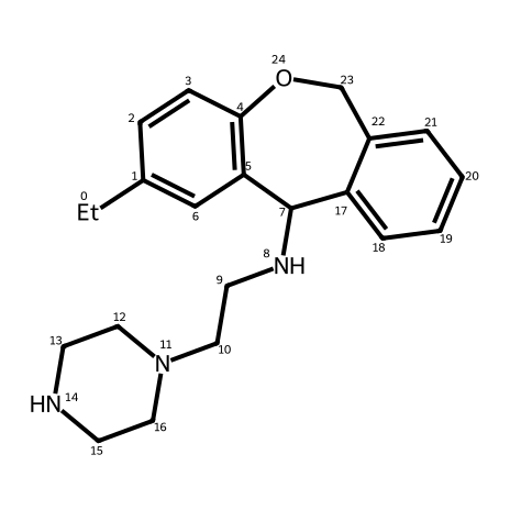 CCc1ccc2c(c1)C(NCCN1CCNCC1)c1ccccc1CO2